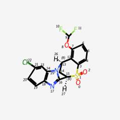 O=S1(=O)c2cccc(OC(F)F)c2[C@H]2C[C@@H]1c1nc3ccc(Cl)cc3n12